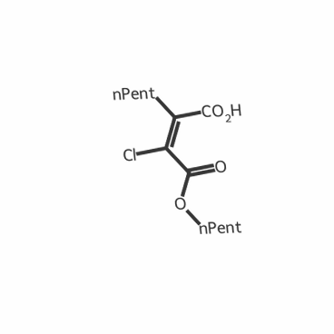 CCCCCOC(=O)C(Cl)=C(CCCCC)C(=O)O